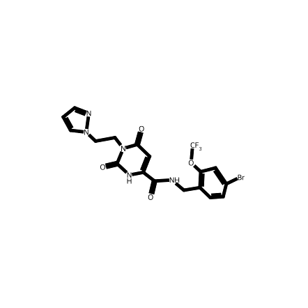 O=C(NCc1ccc(Br)cc1OC(F)(F)F)c1cc(=O)n(CCn2cccn2)c(=O)[nH]1